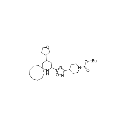 CC(C)(C)OC(=O)N1CCC(c2noc(C3CC(C4CCOC4)CC4(CCCCCCCC4)N3)n2)CC1